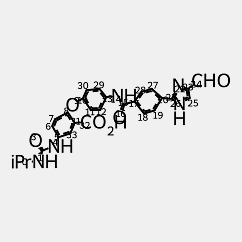 CC(C)NC(=O)Nc1ccc(Oc2ccc(NC(=O)c3ccc(-c4nc(C=O)c[nH]4)cc3)cc2)c(C(=O)O)c1